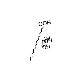 CC(CO)(CO)CO.CCCCCCCCCCCCCCCCCC(=O)O